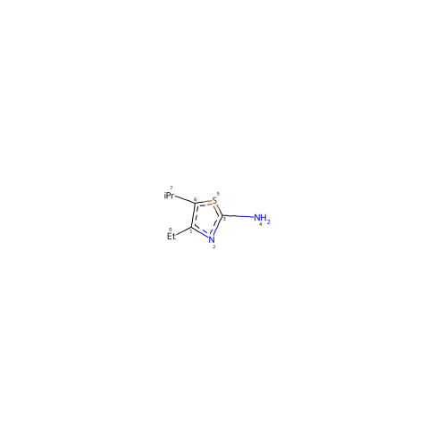 CCc1nc(N)sc1C(C)C